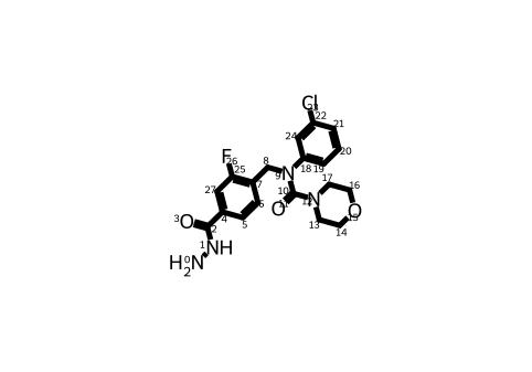 NNC(=O)c1ccc(CN(C(=O)N2CCOCC2)c2cccc(Cl)c2)c(F)c1